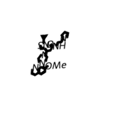 COc1ccc2c(c1N1CCCN(C(CC(=O)NCCN3CCCC3)c3csc(C4CC4)n3)CC1)N=CCC2